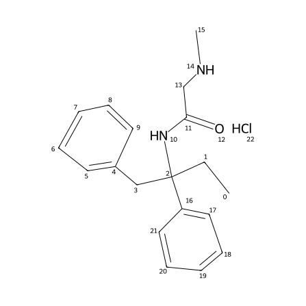 CCC(Cc1ccccc1)(NC(=O)CNC)c1ccccc1.Cl